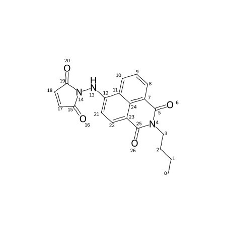 CCCCN1C(=O)c2cccc3c(NN4C(=O)C=CC4=O)ccc(c23)C1=O